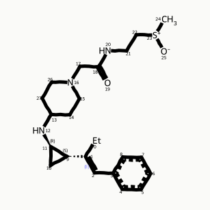 CC/C(=C\c1ccccc1)[C@@H]1C[C@H]1NC1CCN(CC(=O)NCC[S+](C)[O-])CC1